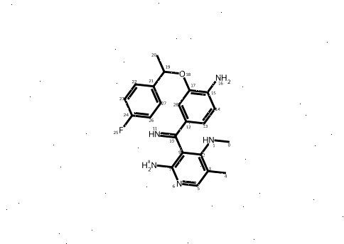 CNc1c(C)cnc(N)c1C(=N)c1ccc(N)c(OC(C)c2ccc(F)cc2)c1